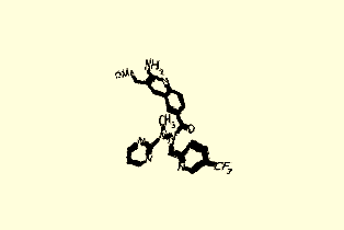 COCc1cc2cc(C(=O)N(Cc3ccc(C(F)(F)F)cn3)N(C)c3ncccn3)ccc2nc1N